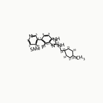 CSc1ccncc1-c1ccc2[nH]c(NCC3CCC(C)CC3)nc2c1F